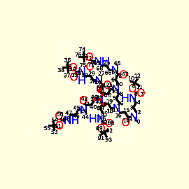 CN(CCCNC(=O)OC(C)(C)C)C(=O)CCN(CCCN(CCC(=O)N(C)CCCNC(=O)OC(C)(C)C)CCC(=O)N(C)CCCNC(=O)OC(C)(C)C)CCCN(CCC(=O)N(C)CCCNC(=O)OC(C)(C)C)CCC(=O)N(C)CCCNC(=O)OC(C)(C)C